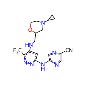 N#Cc1cnc(Nc2cc(NCC3CN(C4CC4)CCO3)c(C(F)(F)F)nn2)cn1